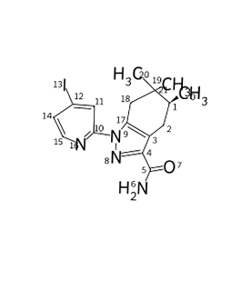 C[C@H]1Cc2c(C(N)=O)nn(-c3cc(I)ccn3)c2CC1(C)C